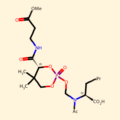 COC(=O)CCNC(=O)[C@@H]1OP(=O)(OCN(C(C)=O)[C@@H](CC(C)C)C(=O)O)OCC1(C)C